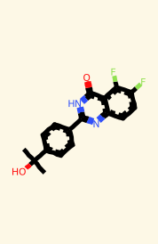 CC(C)(O)c1ccc(-c2nc3ccc(F)c(F)c3c(=O)[nH]2)cc1